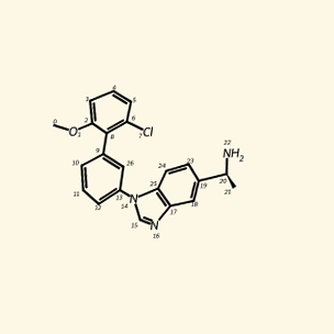 COc1cccc(Cl)c1-c1cccc(-n2cnc3cc([C@H](C)N)ccc32)c1